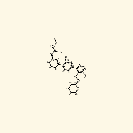 CCOC(=O)C=C1C=C(c2ccc(-c3nnn(C)c3COC3CCCCO3)nc2C)CCC1